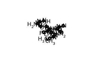 CN(C)c1ccc(-c2cnc3nc(N)nc(N4CCOCC4)c3n2)cc1.Cc1cc(F)ccc1-c1cnc2nc(N)nc(N3CCOCC3)c2n1.Nc1nc(N2CCOCC2)c2nc(-c3ccncc3)cnc2n1.Nc1nc(N2CCOCC2)c2nc(-c3cn[nH]c3)cnc2n1